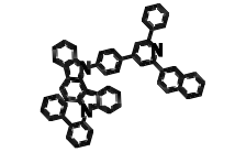 c1ccc(-c2cc(-c3ccc(-n4c5ccccc5c5ccc6c(c7ccccc7n6-c6ccccc6-c6ccccc6)c54)cc3)cc(-c3ccc4ccccc4c3)n2)cc1